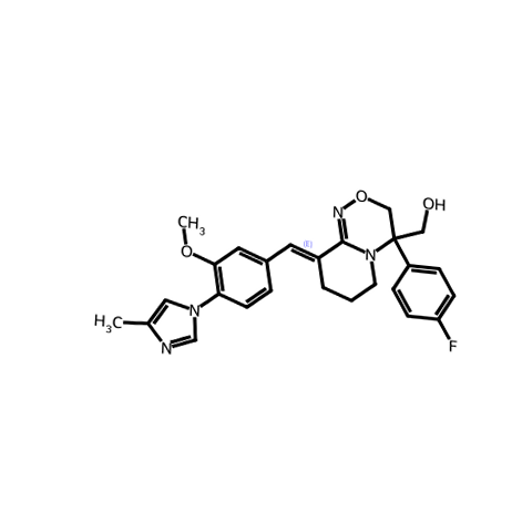 COc1cc(/C=C2\CCCN3C2=NOCC3(CO)c2ccc(F)cc2)ccc1-n1cnc(C)c1